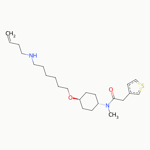 C=CCCNCCCCCCO[C@H]1CC[C@H](N(C)C(=O)Cc2ccsc2)CC1